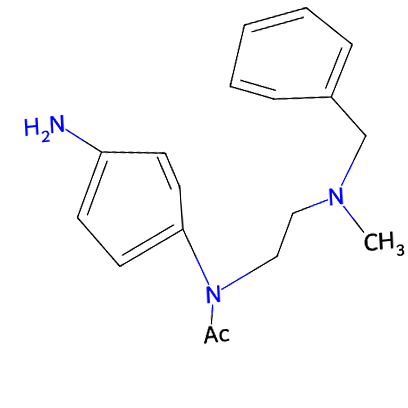 CC(=O)N(CCN(C)Cc1ccccc1)c1ccc(N)cc1